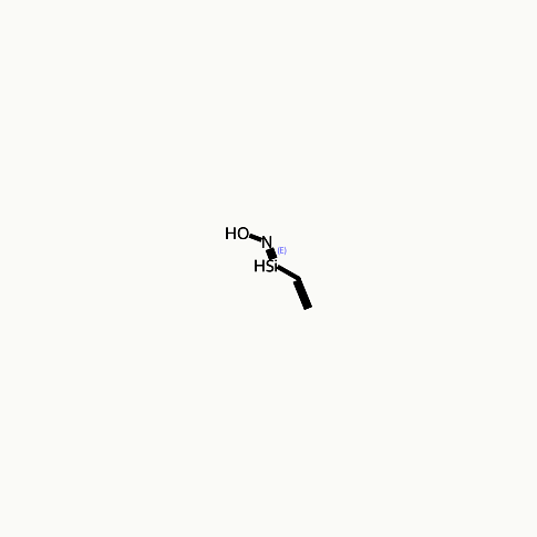 C=C/[SiH]=N/O